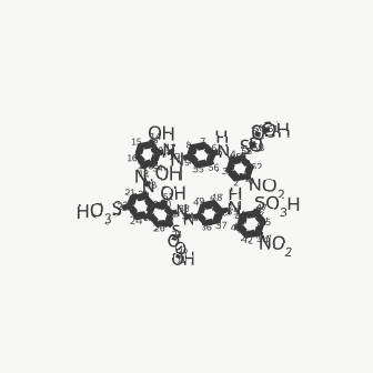 O=[N+]([O-])c1ccc(Nc2ccc(N=Nc3c(O)ccc(/N=N/c4cc(S(=O)(=O)O)cc5cc(SOOO)c(N=Nc6ccc(Nc7ccc([N+](=O)[O-])cc7S(=O)(=O)O)cc6)c(O)c45)c3O)cc2)c(SOOO)c1